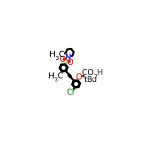 Cc1ccc(S(=O)(=O)N2CCCCC2C)cc1C#Cc1cc(Cl)ccc1OC(C(=O)O)C(C)(C)C